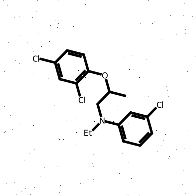 CCN(CC(C)Oc1ccc(Cl)cc1Cl)c1cccc(Cl)c1